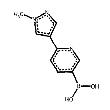 Cn1cc(-c2ccc(B(O)O)cn2)cn1